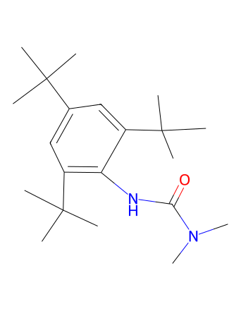 CN(C)C(=O)Nc1c(C(C)(C)C)cc(C(C)(C)C)cc1C(C)(C)C